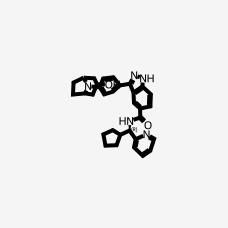 O=C(N[C@@H](c1ccccn1)C1CCCC1)c1ccc2[nH]nc(-c3ccc(N4C5CCC4CC(O)C5)cc3)c2c1